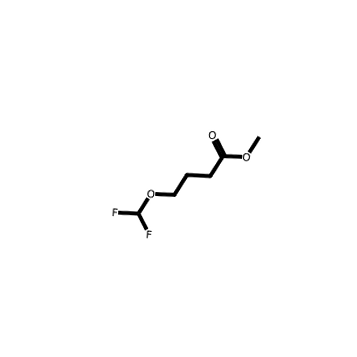 COC(=O)CCCOC(F)F